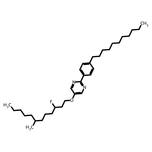 CCCCCCCCCCCc1ccc(-c2ncc(OCCC(F)CCCC(C)CCCCC)cn2)cc1